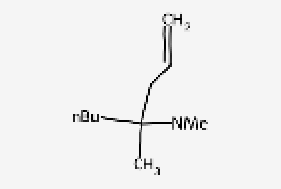 C=CCC(C)(CCCC)NC